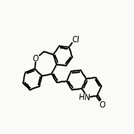 O=c1ccc2ccc(/C=C3\c4ccc(Cl)cc4COc4ccccc43)cc2[nH]1